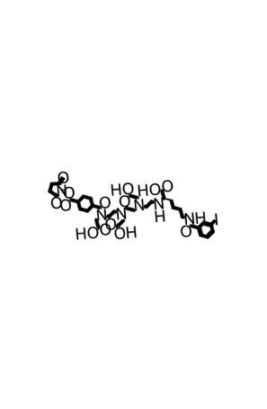 O=C(O)CN(CCN[C@H](CCCCNC(=O)c1cccc(I)c1)C(=O)O)CCN(CCN(CC(=O)O)C(=O)C1CCC(C(=O)ON2C(=O)CCC2=O)CC1)CC(=O)O